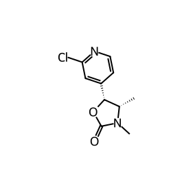 C[C@H]1[C@@H](c2ccnc(Cl)c2)OC(=O)N1C